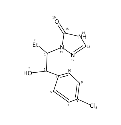 CCC(C(O)c1ccc(Cl)cc1)n1nc[nH]c1=O